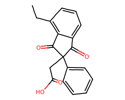 CCc1cccc2c1C(=O)C(CC(=O)O)(c1ccccc1)C2=O